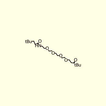 CC(C)(C)CCC(=O)NCCOCCOCCOCCOCCC(=O)C(C)(C)C